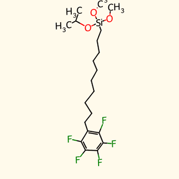 CO[Si](CCCCCCCCCCc1c(F)c(F)c(F)c(F)c1F)(OC)OC(C)C